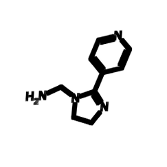 NCN1CCN=C1c1ccncc1